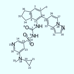 Cc1cc2c(c(NC(=O)NS(=O)(=O)c3cncc(N(C)C4CC4)c3)c1-c1ccn3nccc3c1)CCC2